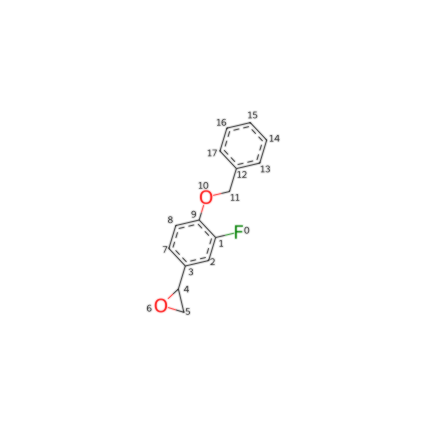 Fc1cc(C2CO2)ccc1OCc1ccccc1